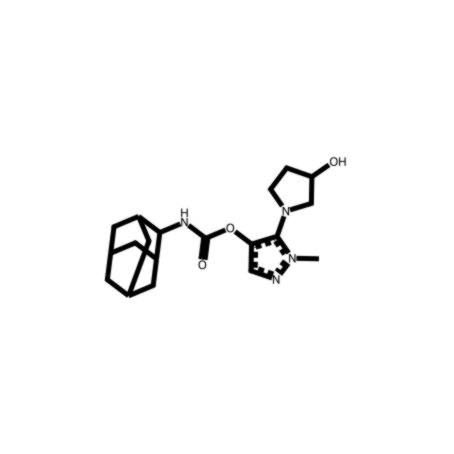 Cn1ncc(OC(=O)NC2C3CC4CC(C3)CC2C4)c1N1CCC(O)C1